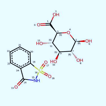 O=C(O)[C@H]1O[C@@H](O)[C@H](O)[C@@H](O)[C@@H]1O.O=C1NS(=O)(=O)c2ccccc21